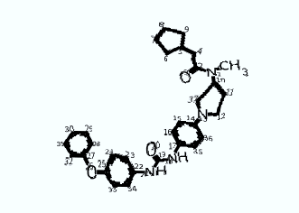 CN(C(=O)CC1CCCC1)C1CCN(c2ccc(NC(=O)Nc3ccc(Oc4ccccc4)cc3)cc2)C1